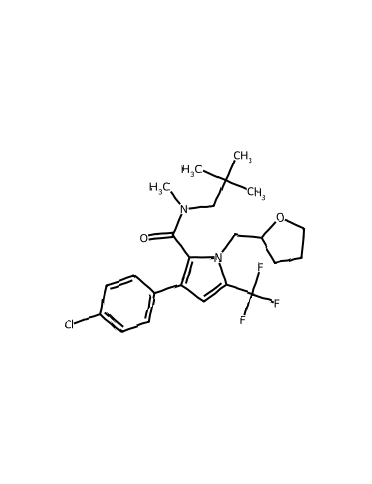 CN(CC(C)(C)C)C(=O)c1c(-c2ccc(Cl)cc2)cc(C(F)(F)F)n1CC1CCCO1